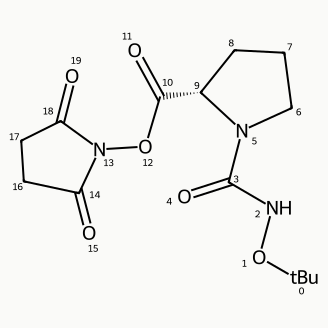 CC(C)(C)ONC(=O)N1CCC[C@H]1C(=O)ON1C(=O)CCC1=O